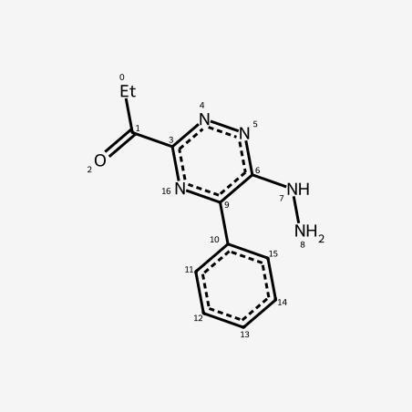 CCC(=O)c1nnc(NN)c(-c2ccccc2)n1